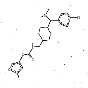 Cc1cc(OC(=O)NCC2CCC(C(c3ccc(Cl)cc3)N(C)C)CC2)no1